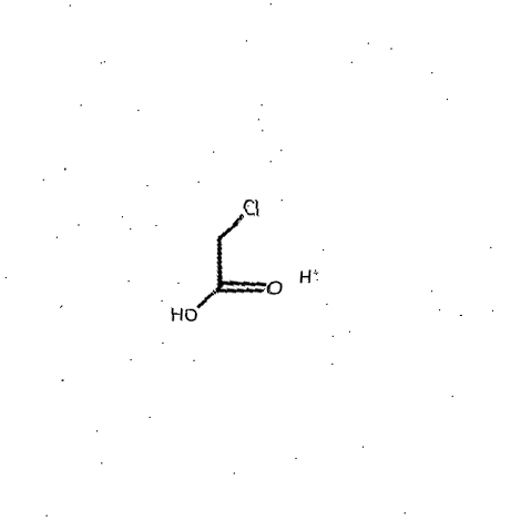 O=C(O)CCl.[H+]